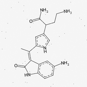 CC(=C1C(=O)Nc2ccc(N)cc21)c1cc(C(CCN)C(N)=O)c[nH]1